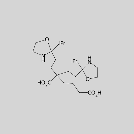 CC(C)C1(CCC(CCCC(=O)O)(CCC2(C(C)C)NCCO2)C(=O)O)NCCO1